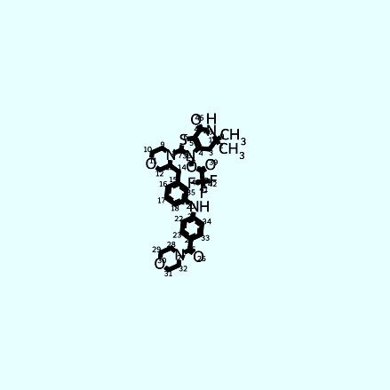 CC1(C)CC2=C(SC(N3CCOCC3Cc3cccc(Nc4ccc(C(=O)N5CCOCC5)cc4)c3)N2OC(=O)C(F)(F)F)C(=O)N1